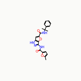 Cc1ccc(C(=O)Nc2n[nH]c3cc(C(=O)NC(C)(C)c4ccccc4)oc23)o1